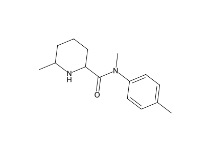 Cc1ccc(N(C)C(=O)C2CCCC(C)N2)cc1